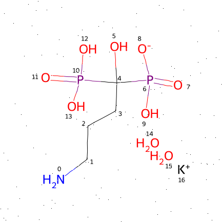 NCCCC(O)(P(=O)([O-])O)P(=O)(O)O.O.O.[K+]